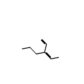 CC=C(C=O)CCC